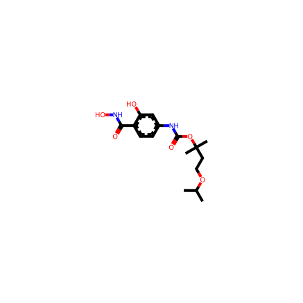 CC(C)OCCC(C)(C)OC(=O)Nc1ccc(C(=O)NO)c(O)c1